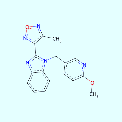 COc1ccc(Cn2c(-c3nonc3C)nc3ccccc32)cn1